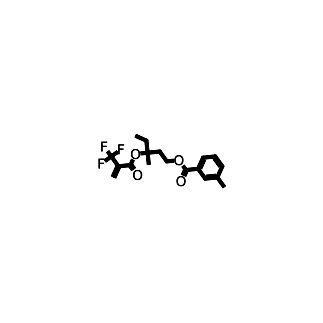 C=C(C(=O)OC(C)(CC)CCOC(=O)c1cccc(C)c1)C(F)(F)F